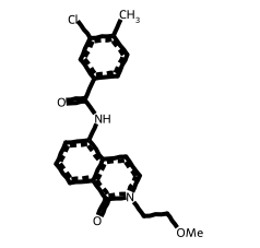 COCCn1ccc2c(NC(=O)c3ccc(C)c(Cl)c3)cccc2c1=O